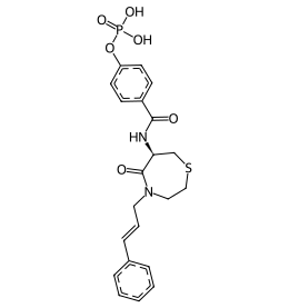 O=C(N[C@H]1CSCCN(CC=Cc2ccccc2)C1=O)c1ccc(OP(=O)(O)O)cc1